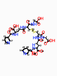 O=C(O)CNC(=O)C(CSSCC(NC(=O)CCC(NC(=O)c1cccnc1)C(=O)O)C(=O)NCC(=O)O)NC(=O)CCC(NC(=O)c1cccnc1)C(=O)O